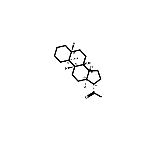 CC(=O)[C@H]1CC[C@H]2C3(O)CC[C@H]4CCCC[C@]4(C)[C@H]3CC[C@]12C